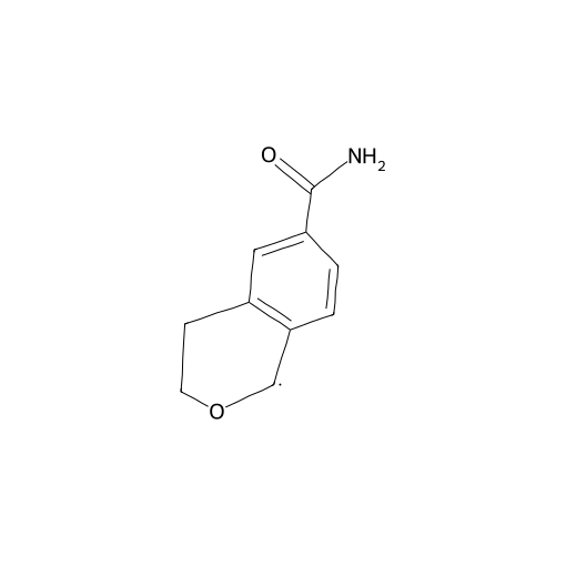 NC(=O)c1ccc2c(c1)CCO[CH]2